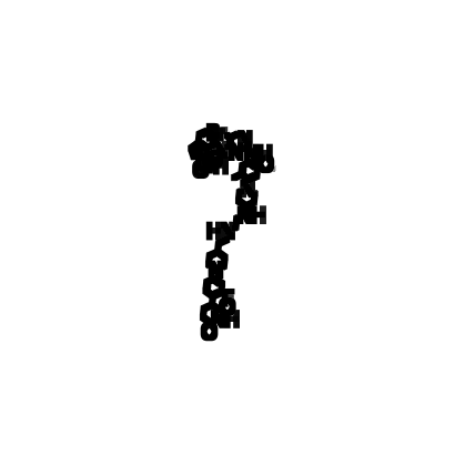 COc1cc(N2CCC(NCCNCCC3CCN(c4ccc(C5CCC(=O)NC5=O)c(F)c4)CC3)CC2)c(C)cc1Nc1ncc(Br)c(Nc2cccc3c2N(S(C)(=O)=O)CC3)n1